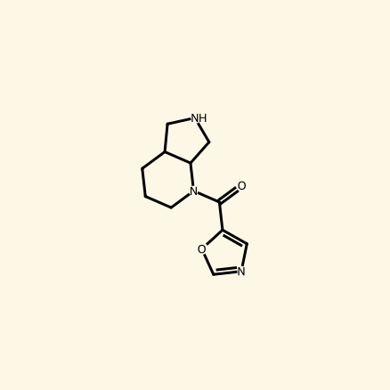 O=C(c1cnco1)N1CCCC2CNCC21